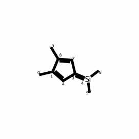 CC1=[C]C(=[Si](C)C)C=C1C